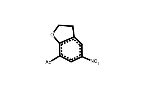 CC(=O)c1cc([N+](=O)[O-])cc2c1OCC2